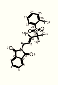 O=C1c2ccccc2C(=O)N1C/C=C(\F)C(F)(F)S(=O)(=O)c1ccccc1F